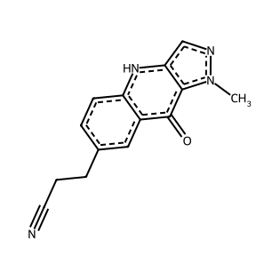 Cn1ncc2[nH]c3ccc(CCC#N)cc3c(=O)c21